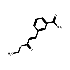 CCOC(=O)C=Cc1cccc(C(N)=O)c1